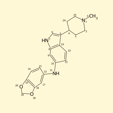 CN1CCC(c2c[nH]c3cc(Nc4ccc5c(c4)OCO5)ccc23)CC1